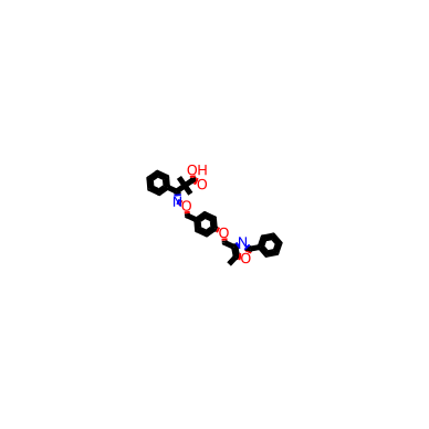 Cc1oc(-c2ccccc2)nc1COc1ccc(CON=C(c2ccccc2)C(C)(C)C(=O)O)cc1